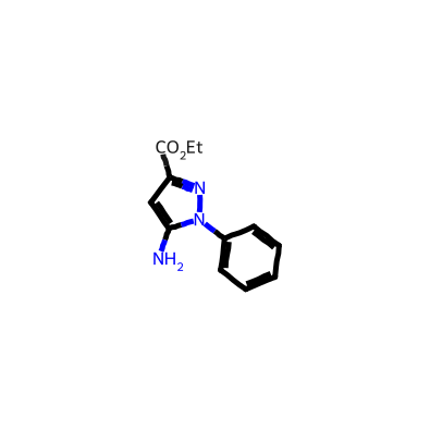 CCOC(=O)c1cc(N)n(-c2ccccc2)n1